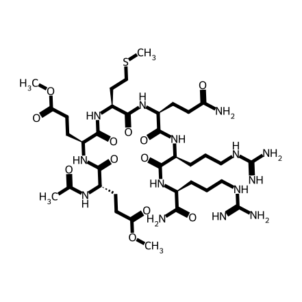 COC(=O)CC[C@H](NC(C)=O)C(=O)N[C@@H](CCC(=O)OC)C(=O)N[C@@H](CCSC)C(=O)N[C@@H](CCC(N)=O)C(=O)N[C@@H](CCCNC(=N)N)C(=O)N[C@@H](CCCNC(=N)N)C(N)=O